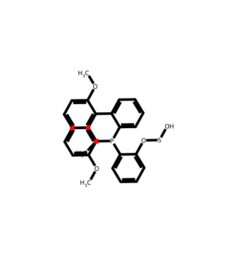 CCc1cccc(OC)c1-c1ccccc1P(c1ccccc1OC)c1ccccc1OSO